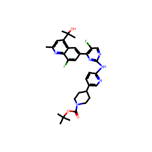 Cc1cc(C(C)(C)O)c2cc(-c3nc(Nc4ccc(C5CCN(C(=O)OC(C)(C)C)CC5)cn4)ncc3F)cc(F)c2n1